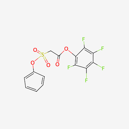 O=C(CS(=O)(=O)Oc1ccccc1)Oc1c(F)c(F)c(F)c(F)c1F